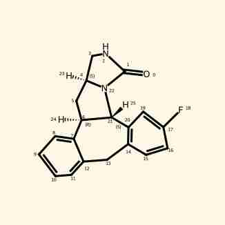 O=C1NC[C@@H]2C[C@@H]3c4ccccc4Cc4ccc(F)cc4[C@H]3N12